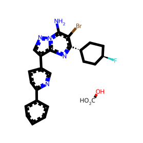 Nc1c(Br)c([C@H]2CC[C@H](F)CC2)nc2c(-c3ccc(-c4ccccc4)nc3)cnn12.O=C(O)O